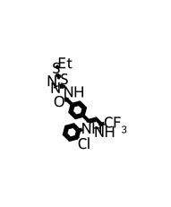 CCSc1nnc(NC(=O)c2ccc(/C(=C/C(=N)C(F)(F)F)Nc3ccccc3Cl)cc2)s1